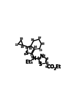 CCOC(=O)c1cnc(N(CC)c2sc(C3CC3)c3c2CCCC3)s1